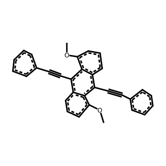 COc1cccc2c(C#Cc3ccccc3)c3c(OC)cccc3c(C#Cc3ccccc3)c12